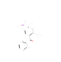 CC1=C(C(=O)c2ccccc2)C=CC(O)([N+](=O)[O-])C1